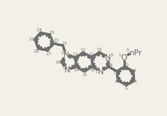 CCCOc1ccccc1-c1ncc2cc3c(cc2n1)ncn3Cc1ccccc1